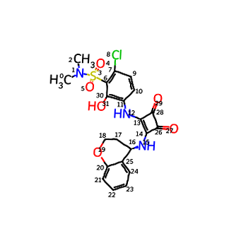 CN(C)S(=O)(=O)c1c(Cl)ccc(Nc2c(N[C@@H]3CCOc4ccccc43)c(=O)c2=O)c1O